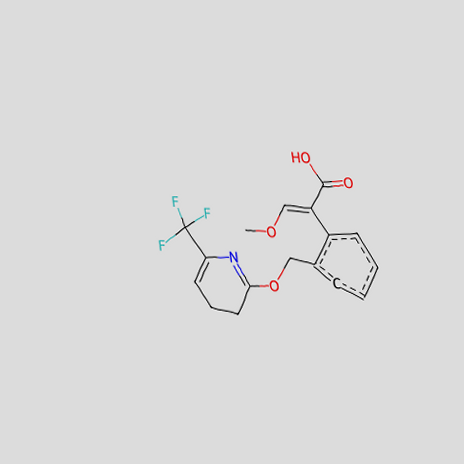 CO/C=C(/C(=O)O)c1ccccc1COC1=NC(C(F)(F)F)=CCC1